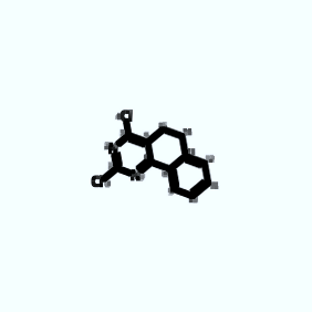 Clc1nc(Cl)c2c(n1)-c1ccccc1CC2